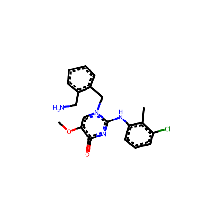 COc1cn(Cc2ccccc2CN)c(Nc2cccc(Cl)c2C)nc1=O